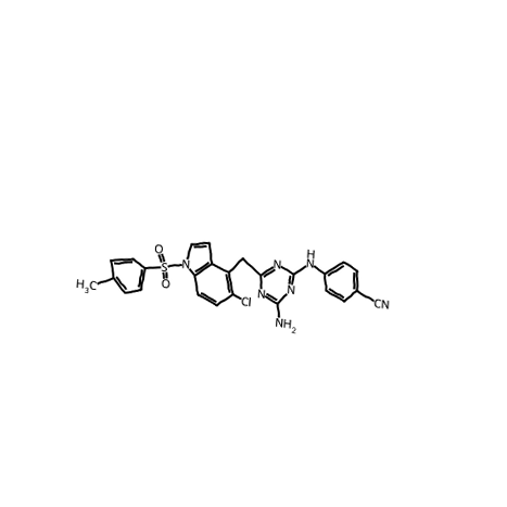 Cc1ccc(S(=O)(=O)n2ccc3c(Cc4nc(N)nc(Nc5ccc(C#N)cc5)n4)c(Cl)ccc32)cc1